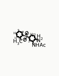 CC(=O)Nc1cc(S(=O)(=O)c2ccccc2C)ccc1N